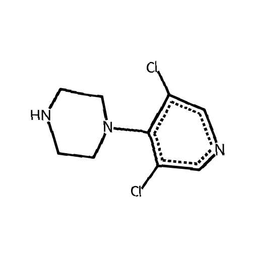 Clc1cncc(Cl)c1N1CCNCC1